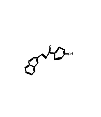 O=C(C=Cc1ccc2ccccc2c1)c1ccc(O)cc1